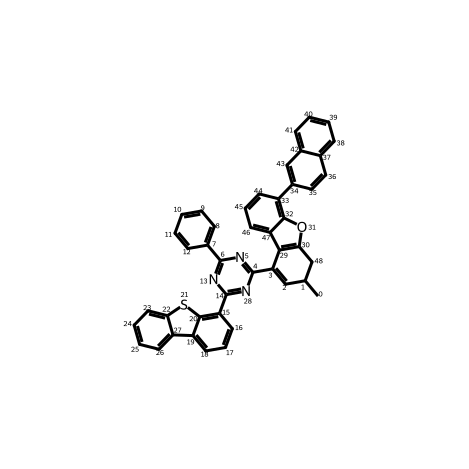 CC1C=C(c2nc(-c3ccccc3)nc(-c3cccc4c3sc3ccccc34)n2)c2c(oc3c(-c4ccc5ccccc5c4)cccc23)C1